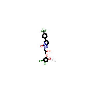 COc1cc(Cl)c(Cl)cc1OCC(O)Cn1nc2ccc(-c3ccc(C(F)(F)F)cc3)cn2c1=O